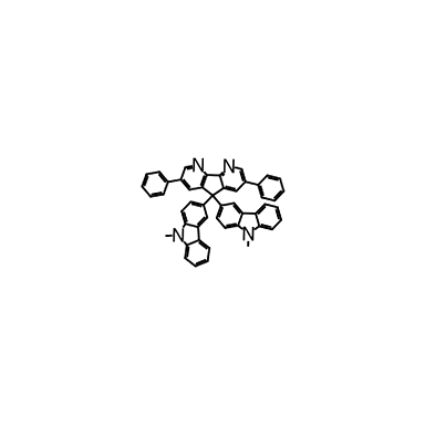 Cn1c2ccccc2c2cc(C3(c4ccc5c(c4)c4ccccc4n5C)c4cc(-c5ccccc5)cnc4-c4ncc(-c5ccccc5)cc43)ccc21